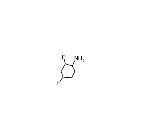 NC1CCC(F)CC1F